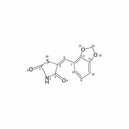 O=C1NC(=O)C(=Cc2cccc3c2OCO3)S1